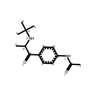 CC(=O)Nc1ccc(C(=O)C(C)NC(C)(C)C)cc1